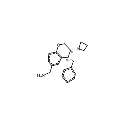 NCc1ccc2c(c1)[C@@H](Cc1ccccc1)[C@@H](N1CCC1)CO2